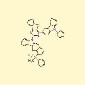 CC1(C)c2ccccc2-c2ccc3cc4c(cc3c21)c1ccccc1n4-c1nc(-c2ccc3c(c2)c2ccccc2n3-c2ccccc2)c2oc3ccccc3c2n1